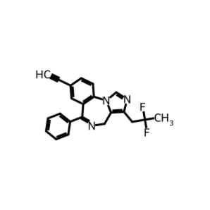 C#Cc1ccc2c(c1)C(c1ccccc1)=NCc1c(CC(C)(F)F)ncn1-2